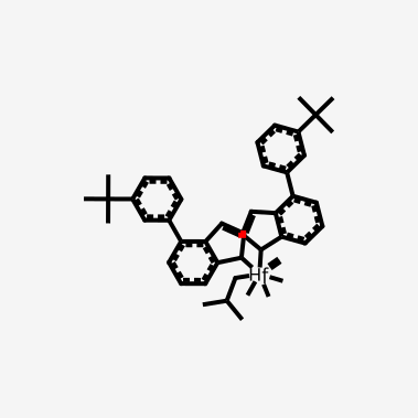 [CH2]=[Hf]([CH3])([CH3])([CH3])([CH2]C(C)C)([CH]1C=Cc2c(-c3cccc(C(C)(C)C)c3)cccc21)[CH]1C=Cc2c(-c3cccc(C(C)(C)C)c3)cccc21